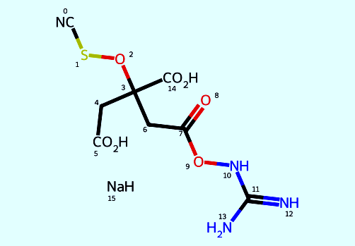 N#CSOC(CC(=O)O)(CC(=O)ONC(=N)N)C(=O)O.[NaH]